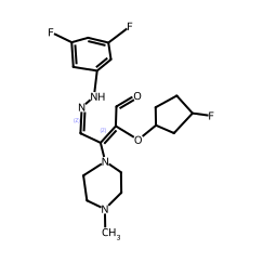 CN1CCN(C(/C=N\Nc2cc(F)cc(F)c2)=C(/C=O)OC2CCC(F)C2)CC1